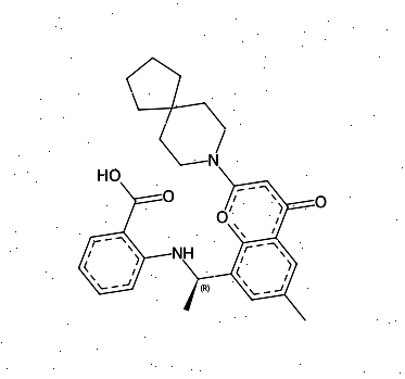 Cc1cc([C@@H](C)Nc2ccccc2C(=O)O)c2oc(N3CCC4(CCCC4)CC3)cc(=O)c2c1